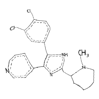 CN1CCCCC1c1nc(-c2ccncc2)c(-c2ccc(Cl)c(Cl)c2)[nH]1